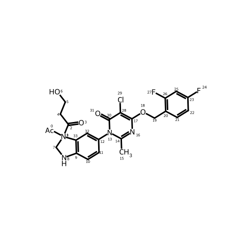 CC(=O)[N+]1(C(=O)CCO)CNc2ccc(-n3c(C)nc(OCc4ccc(F)cc4F)c(Cl)c3=O)cc21